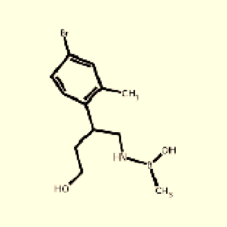 CB(O)NCC(CCO)c1ccc(Br)cc1C